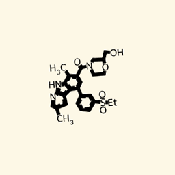 CCS(=O)(=O)c1cccc(-c2cc(C(=O)N3CCOC(CO)C3)c(C)c3[nH]c4ncc(C)cc4c23)c1